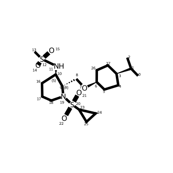 CC(C)[C@H]1CC[C@@H](OC[C@H]2[C@@H](NS(C)(=O)=O)CCCN2S(=O)(=O)C2CC2)CC1